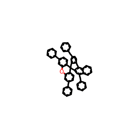 c1ccc(-c2ccc3c(c2)Oc2cc(-c4ccccc4)ccc2C32c3cc(-c4ccccc4)ccc3-c3c2cc(-c2ccccc2)c2ccccc32)cc1